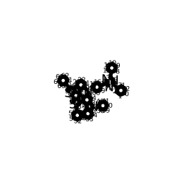 c1ccc(-c2nc(-c3ccccc3)nc(-c3ccc(N4c5ccccc5C5(c6cc7c8ccccc8n(-c8ccccc8)c7cc64)c4cc(-c6ccccc6)sc4-c4sc(-c6ccccc6)cc45)cc3)n2)cc1